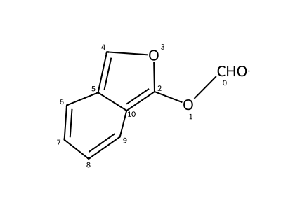 O=[C]Oc1occ2ccccc12